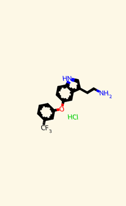 Cl.NCCc1c[nH]c2ccc(Oc3cccc(C(F)(F)F)c3)cc12